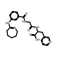 O=C(CNC(=O)c1cccc(NC2=NCCCCC2)c1)NC(Cc1cccnc1)C(=O)O